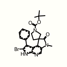 CN1C(=O)C2(CCN(C(=O)OC(C)(C)C)C2)c2c1cnc1[nH]c(Br)c(-c3ccccc3)c21